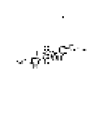 CCCCOc1ccc(C(O)CS(=O)(=O)NC(=O)c2ccc(COCC)nc2)cc1